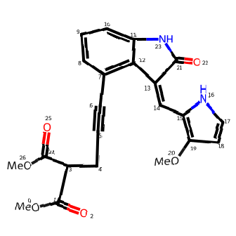 COC(=O)C(CC#Cc1cccc2c1C(=Cc1[nH]ccc1OC)C(=O)N2)C(=O)OC